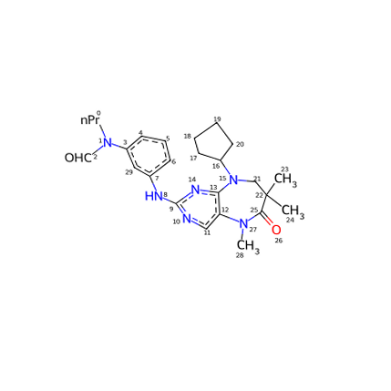 CCCN(C=O)c1cccc(Nc2ncc3c(n2)N(C2CCCC2)CC(C)(C)C(=O)N3C)c1